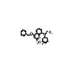 CN(c1ccccc1)c1cccc2c(OCc3ccccc3)cc(C(=O)O)nc12